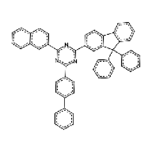 c1ccc(-c2ccc(-c3nc(-c4ccc5c(c4)C(c4ccccc4)(c4ccccc4)c4ccccc4-5)nc(-c4ccc5ccccc5c4)n3)cc2)cc1